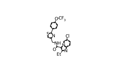 CCc1nc2ccc(Cl)cn2c1C(=O)NCc1csc(-c2ccc(OC(F)(F)F)cc2)n1